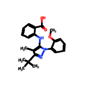 COc1ccccc1-n1nc(C(C)(C)C)c(C)c1Nc1ccccc1C(=O)O